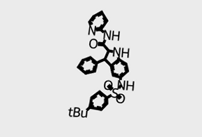 CC(C)(C)c1ccc(S(=O)(=O)Nc2ccc3c(c2)C(c2ccccc2)C(C(=O)Nc2ccccn2)N3)cc1